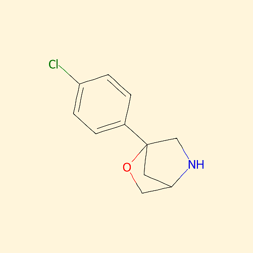 Clc1ccc(C23CNC(CO2)C3)cc1